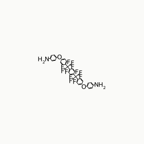 Nc1ccc(Oc2ccc(C(c3ccc(C(c4ccc(Oc5ccc(N)cc5)cc4)(C(F)(F)F)C(F)(F)F)cc3)(C(F)(F)F)C(F)(F)F)cc2)cc1